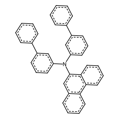 c1ccc(-c2cccc(N(c3cccc(-c4ccccc4)c3)c3cc4ccccc4c4ccccc34)c2)cc1